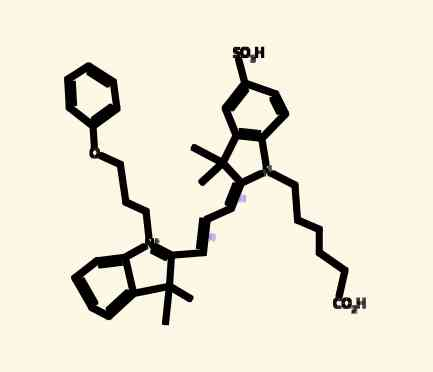 CC1(C)C(/C=C/C=C2/N(CCCCCC(=O)O)c3ccc(S(=O)(=O)O)cc3C2(C)C)=[N+](CCCOc2ccccc2)c2ccccc21